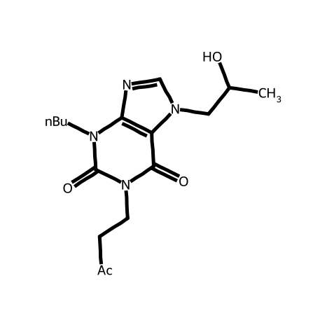 CCCCn1c(=O)n(CCC(C)=O)c(=O)c2c1ncn2CC(C)O